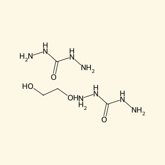 NNC(=O)NN.NNC(=O)NN.OCCO